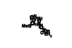 COc1ccc(Cn2c(N[C@H]3CC[C@H](Nc4ccc(N5CC(=O)N(C)C5=O)cn4)C3)nc3cccnc32)cc1